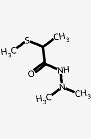 CSC(C)C(=O)NN(C)C